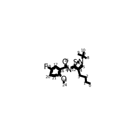 CCCCc1cn(C(C)(C)C)sc1=NC(=O)c1cc(F)ccc1OC